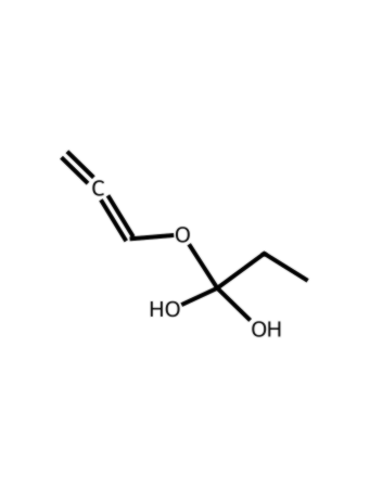 C=C=COC(O)(O)CC